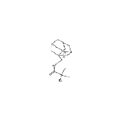 C=C(OCC12CC3CC(C1)C(=O)C(C3)C2)C(C)(C)CC